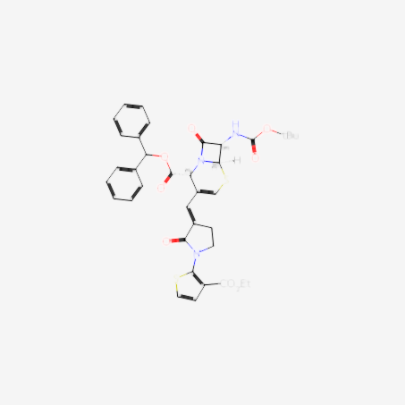 CCOC(=O)c1ccsc1N1CCC(=CC2=CS[C@@H]3[C@H](NC(=O)OC(C)(C)C)C(=O)N3[C@H]2C(=O)OC(c2ccccc2)c2ccccc2)C1=O